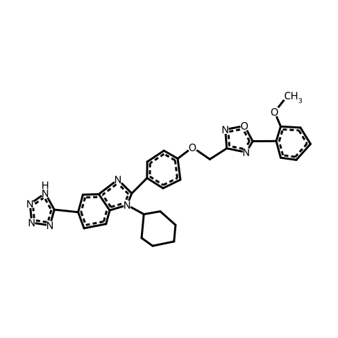 COc1ccccc1-c1nc(COc2ccc(-c3nc4cc(-c5nnn[nH]5)ccc4n3C3CCCCC3)cc2)no1